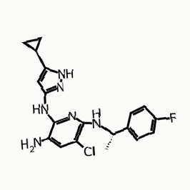 C[C@H](Nc1nc(Nc2cc(C3CC3)[nH]n2)c(N)cc1Cl)c1ccc(F)cc1